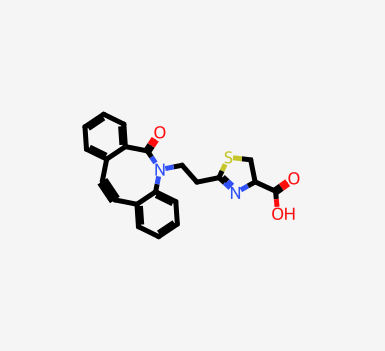 O=C(O)C1CSC(CCN2C(=O)c3ccccc3C#Cc3ccccc32)=N1